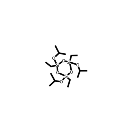 CC[Si]1(OC(C)C)O[Si](CC)(OC(C)C)O[Si](CC)(OC(C)C)O1